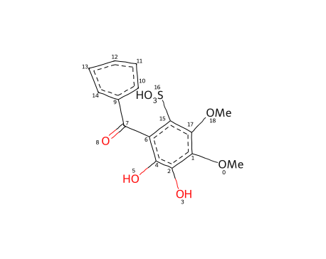 COc1c(O)c(O)c(C(=O)c2ccccc2)c(S(=O)(=O)O)c1OC